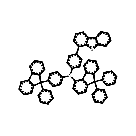 c1ccc(C2(c3ccc(N(c4ccc(-c5cccc6c5sc5ccccc56)cc4)c4cccc5c4-c4ccccc4C5(c4ccccc4)c4ccccc4)cc3)c3ccccc3-c3ccccc32)cc1